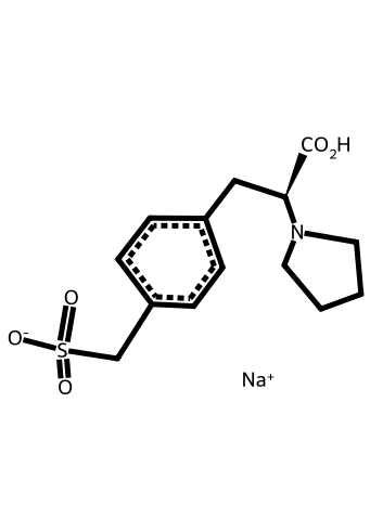 O=C(O)[C@H](Cc1ccc(CS(=O)(=O)[O-])cc1)N1CCCC1.[Na+]